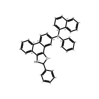 c1ccc(C2Nc3c(c4cc(N(c5ccccc5)c5cccc6ccccc56)ccc4c4ccccc34)O2)cc1